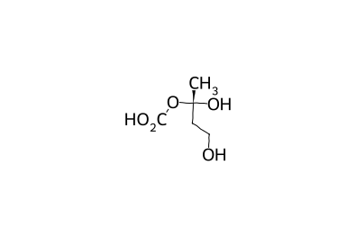 C[C@@](O)(CCO)OC(=O)O